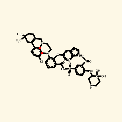 CC1(C)CCC(CN2CCN(c3cccc(C(=O)NS(=O)(=O)c4ccc(NC5CNCCS5(O)O)c([N+](=O)[O-])c4)c3Oc3cnc4[nH]ccc4c3)CC2)=C(c2ccc(Cl)cc2)C1